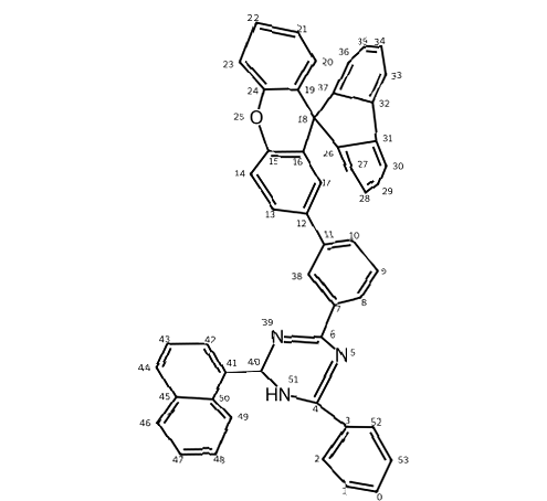 c1ccc(C2=NC(c3cccc(-c4ccc5c(c4)C4(c6ccccc6O5)c5ccccc5-c5ccccc54)c3)=NC(c3cccc4ccccc34)N2)cc1